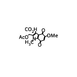 COC1=CC(=O)c2c(c(C(=O)O)c(COC(C)=O)n2C)C1=O